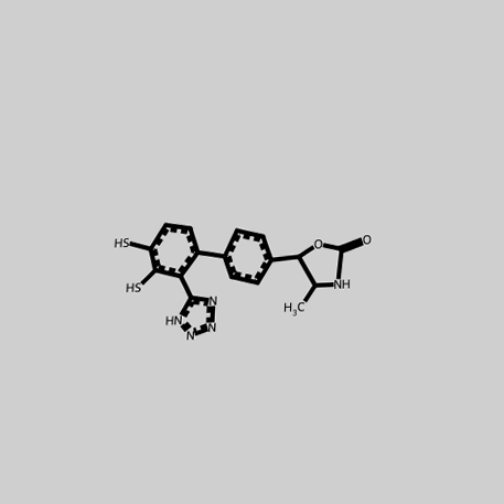 CC1NC(=O)OC1c1ccc(-c2ccc(S)c(S)c2-c2nnn[nH]2)cc1